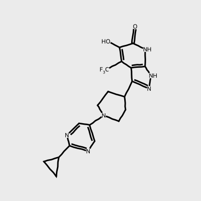 O=c1[nH]c2[nH]nc(C3CCN(c4cnc(C5CC5)nc4)CC3)c2c(C(F)(F)F)c1O